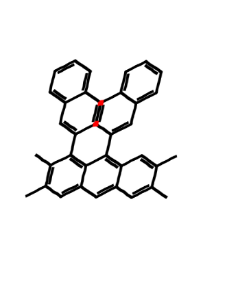 Cc1cc2cc3cc(C)c(C)c(-c4ccc5ccccc5c4)c3c(-c3ccc4ccccc4c3)c2cc1C